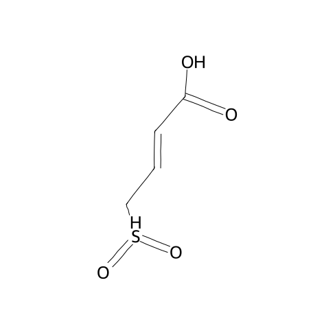 O=C(O)C=CC[SH](=O)=O